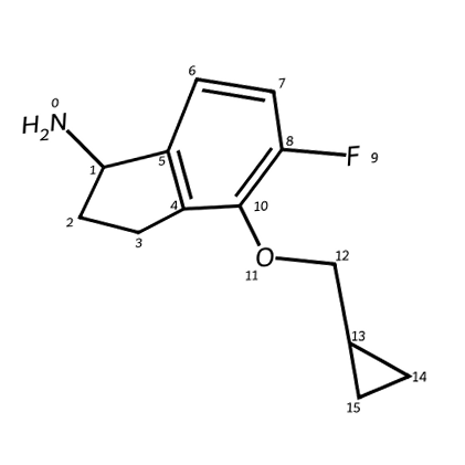 NC1CCc2c1ccc(F)c2OCC1CC1